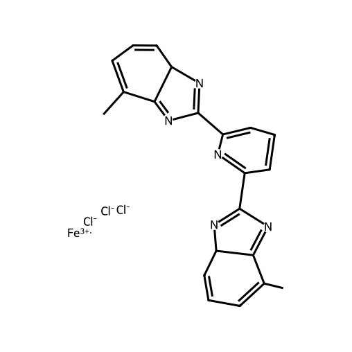 CC1=CC=CC2N=C(c3cccc(C4=NC5C=CC=C(C)C5=N4)n3)N=C12.[Cl-].[Cl-].[Cl-].[Fe+3]